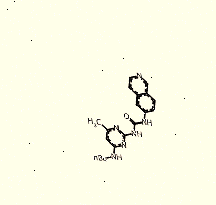 CCCCNc1cc(C)nc(NC(=O)Nc2ccc3cnccc3c2)n1